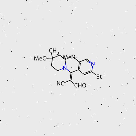 CCc1cc(/C(=C(/C#N)C=O)N2CCC(C)(OC)CC2)c(NC)cn1